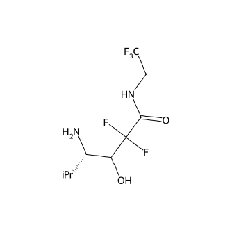 CC(C)[C@H](N)C(O)C(F)(F)C(=O)NCC(F)(F)F